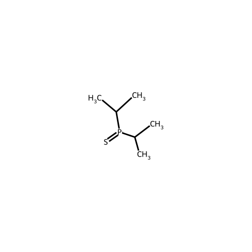 CC(C)[P](=S)C(C)C